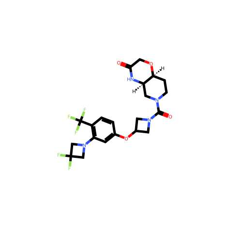 O=C1CO[C@H]2CCN(C(=O)N3CC(Oc4ccc(C(F)(F)F)c(N5CC(F)(F)C5)c4)C3)C[C@H]2N1